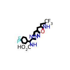 O=C(O)NC(c1cn2ncc(CC3C[C@@H](C(F)(F)F)NC3=O)cc2n1)C1CCC(F)(F)CC1